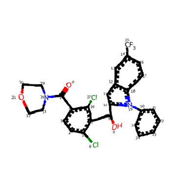 O=C(c1ccc(Cl)c(C(O)c2cc3cc(C(F)(F)F)ccc3n2-c2ccccc2)c1Cl)N1CCOCC1